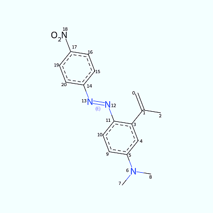 C=C(C)c1cc(N(C)C)ccc1/N=N/c1ccc([N+](=O)[O-])cc1